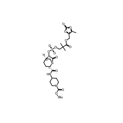 Cc1oc(=O)oc1COC(=O)C(C)(C)COS(=O)(=O)ON1C(=O)N2C[C@H]1CC[C@H]2C(=O)NC1CCN(C(=O)OC(C)(C)C)CC1